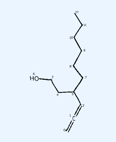 C=C=CC(CCO)CCCCCC